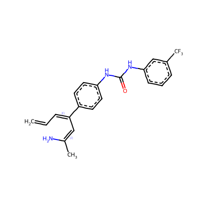 C=C/C=C(\C=C(\C)N)c1ccc(NC(=O)Nc2cccc(C(F)(F)F)c2)cc1